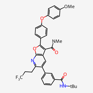 CNC(=O)c1c(-c2ccc(Oc3ccc(OC)cc3)cc2)oc2nc(CCC(F)(F)F)c(-c3cccc(C(=O)NC(C)(C)C)c3)cc12